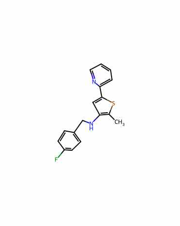 Cc1sc(-c2ccccn2)cc1NCc1ccc(F)cc1